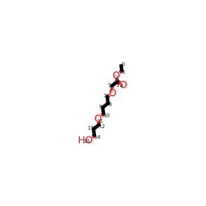 CCOC(=O)COCCCCOCCCO